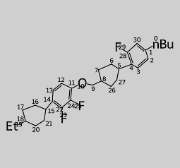 CCCCc1ccc(C2CCC(COc3ccc(C4CCC(CC)CC4)c(F)c3F)CC2)c(F)c1